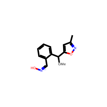 COC(c1cc(C)no1)c1ccccc1/C=N\O